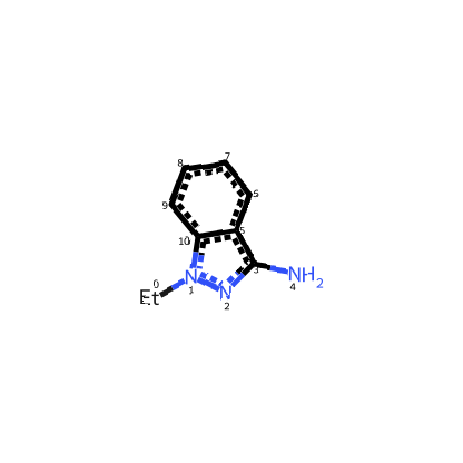 CCn1nc(N)c2ccccc21